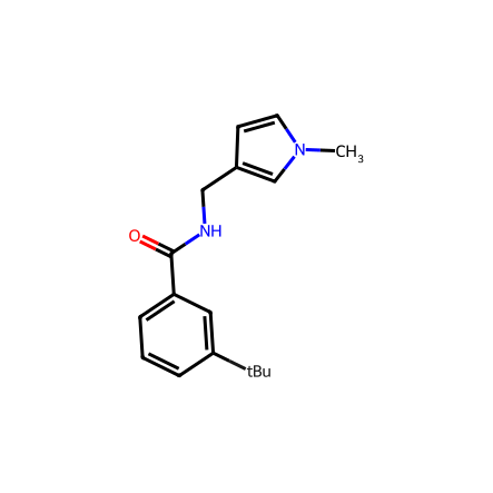 Cn1ccc(CNC(=O)c2cccc(C(C)(C)C)c2)c1